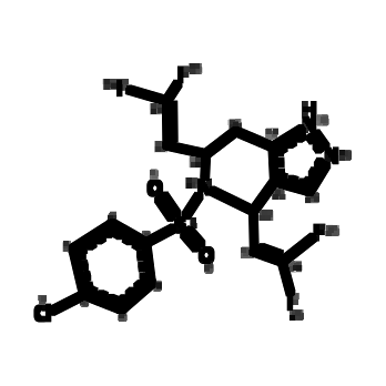 O=S(=O)(c1ccc(Cl)cc1)N1C(C=C(F)F)Cc2[nH]ncc2C1C=C(F)F